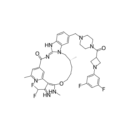 CN/C1=C(\C(=N)C(F)F)c2cc(cc(C)n2)C(=O)/N=C2\Nc3ccc(CN4CCN(C(=O)C5CN(c6cc(F)cc(F)c6)C5)CC4)cc3N2C[C@H](C)CCCO1